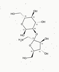 NC[C@@]1(O[C@@H]2[C@@H](O)[C@H](O)[C@@H](CO)O[C@@H]2O)O[C@H](CO)[C@@H](O)[C@@H]1O